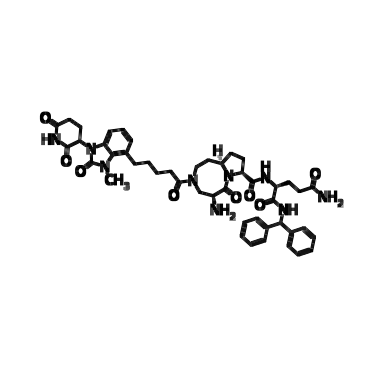 Cn1c(=O)n(C2CCC(=O)NC2=O)c2cccc(CCCCC(=O)N3CC[C@H]4CC[C@@H](C(=O)N[C@@H](CCC(N)=O)C(=O)NC(c5ccccc5)c5ccccc5)N4C(=O)[C@@H](N)C3)c21